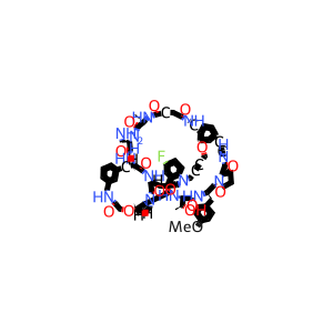 COc1ccc(C[C@@H]2NC(=O)[C@@H]([C@@H](C)O)NC(=O)[C@@H]3[C@@H]4CCN3C(=O)[C@@H]3Cc5cn(c6ccc(F)cc56)CCCCOc5cc(ccc5CNC(=O)CCC(=O)N[C@@H](C)C(=O)N[C@H](CN)C(=O)N[C@@H](Cc5cccc(c5)CNC(=O)CO4)C(=O)N3)CCNC(=O)[C@]3(C)CCCN3C2=O)cc1